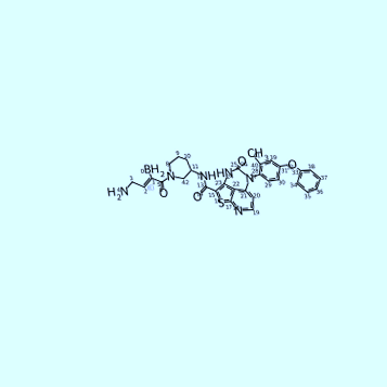 B/C(=C\CN)C(=O)N1CCCC(NC(=O)c2sc3nccc4c3c2NC(=O)N4c2ccc(Oc3ccccc3)cc2C)C1